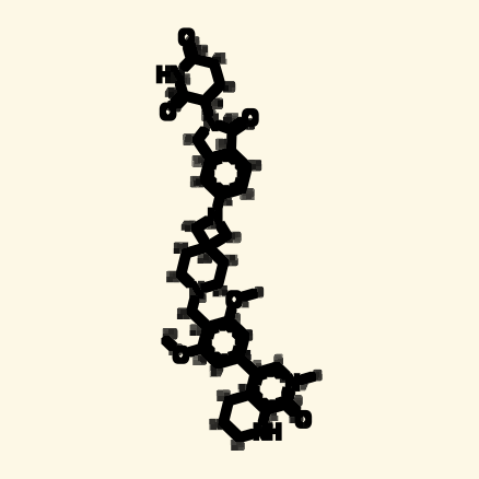 COc1cc(-c2cn(C)c(=O)c3c2CCCN3)cc(OC)c1CN1CCC2(CC1)CN(c1ccc3c(c1)CN(C1CCC(=O)NC1=O)C3=O)C2